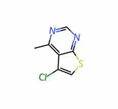 Cc1ncnc2scc(Cl)c12